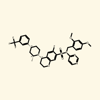 COc1ccc(CN(c2ccncn2)S(=O)(=O)c2cc3c(cc2F)[C@@H](N2CC[C@@H](c4cccc(C(F)(F)F)c4)C[C@H]2C)CCO3)c(OC)c1